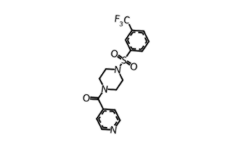 O=C(c1ccncc1)N1CCN(S(=O)(=O)c2cccc(C(F)(F)F)c2)CC1